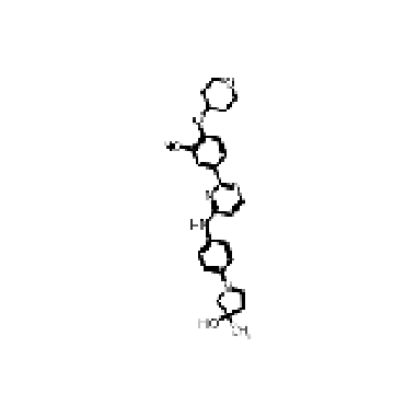 CC1(O)CCN(c2ccc(Nc3ccnc(-c4ccc(OC5CCOCC5)c(C#N)c4)n3)cc2)C1